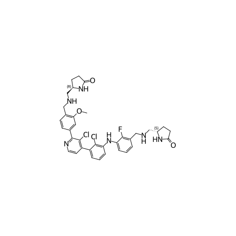 COc1cc(-c2nccc(-c3cccc(Nc4cccc(CNC[C@@H]5CCC(=O)N5)c4F)c3Cl)c2Cl)ccc1CNC[C@H]1CCC(=O)N1